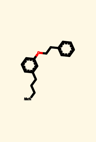 CNCCCc1cccc(OCCc2ccccc2)c1